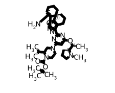 CC(C)C1CN(c2cc(O[C@@H](C)[C@@H]3CCCN3C)nc(-c3noc4c3CCC[C@@]43CCCc4sc(N)c(C#N)c43)n2)CCN1C(=O)OC(C)(C)C